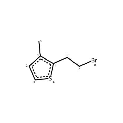 Cc1ccsc1CCBr